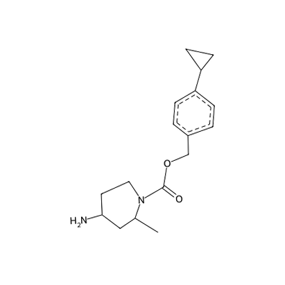 CC1CC(N)CCN1C(=O)OCc1ccc(C2CC2)cc1